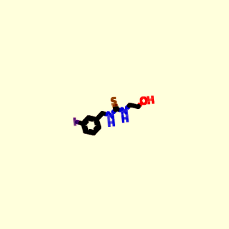 OCCNC(=S)NCc1cccc(I)c1